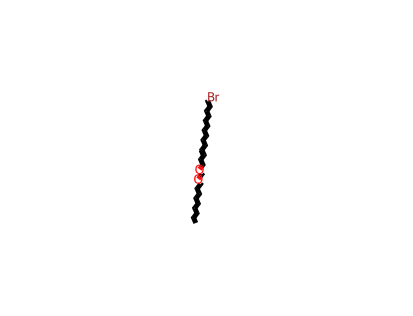 CCCCCCCCCOCOCCC=CCCCCCCCCCCBr